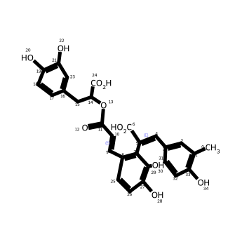 Cc1cc(/C=C(/C(=O)O)c2c(/C=C/C(=O)OC(Cc3ccc(O)c(O)c3)C(=O)O)ccc(O)c2O)ccc1O